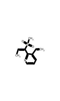 C=Cc1cccnc1/C(=C\C)S(C)(=O)=O